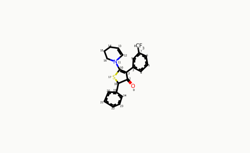 O=C1C(c2cccc(C(F)(F)F)c2)=C(N2C=CCCC2)SC1c1ccccc1